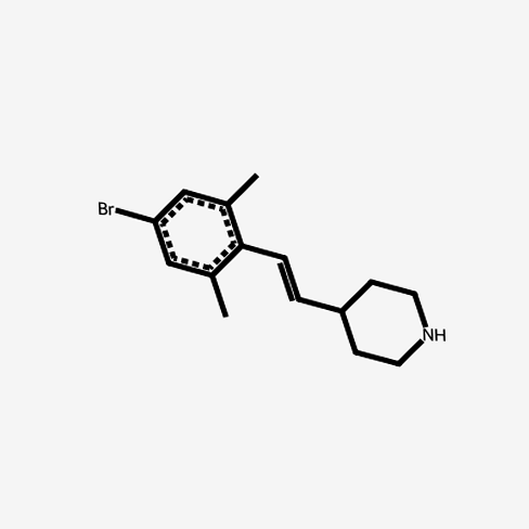 Cc1cc(Br)cc(C)c1/C=C/C1CCNCC1